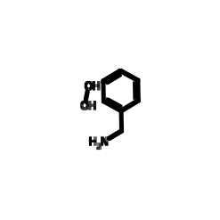 NCc1ccccc1.OO